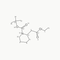 CCOC(=O)CC1CCCCN1C(=O)OC(C)(C)C